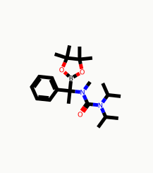 CC(C)N(C(=O)N(C)C(C)(B1OC(C)(C)C(C)(C)O1)c1ccccc1)C(C)C